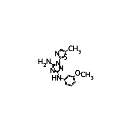 COc1cccc(Nc2nc(N)n(-c3ncc(C)s3)n2)c1